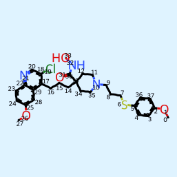 COc1ccc(SCCCN2CCC(CCCc3c(Cl)cnc4ccc(OC)cc34)(C(=O)NO)CC2)cc1